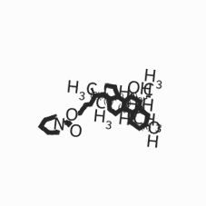 CC[C@H]1[C@@H](O)[C@@H]2[C@H](CC[C@]3(C)[C@@H]([C@H](C)CCCOC(=O)N4CCCCC4)CC[C@@H]23)[C@@]2(C)CC[C@@H](O)C[C@@H]12